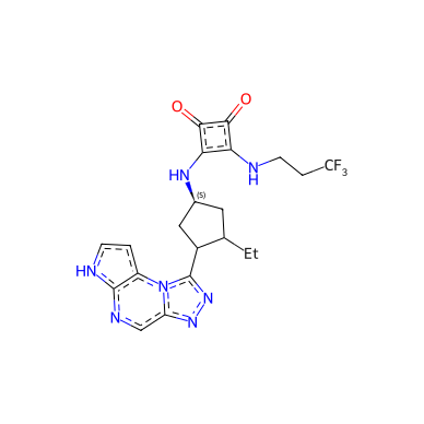 CCC1C[C@H](Nc2c(NCCC(F)(F)F)c(=O)c2=O)CC1c1nnc2cnc3[nH]ccc3n12